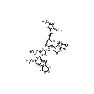 Cc1cc(C#Cc2cnc(O[C@H]3C[C@@H](C(=O)O)N(c4nc(C)nc5c4oc4ccccc45)C3)c(N3CCOC4(COC4)[C@@H]3C)c2)n(C)n1